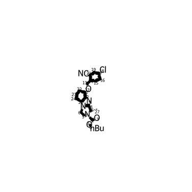 CCCCOC(=O)N1CCn2c(nc3c(OCc4ccc(Cl)cc4C#N)cccc32)[C@@H]1C